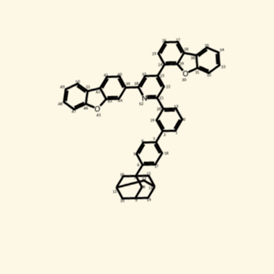 c1cc(-c2ccc(C34CC5CC(CC(C5)C3)C4)cc2)cc(-c2cc(-c3cccc4c3oc3ccccc34)cc(-c3ccc4c(c3)oc3ccccc34)n2)c1